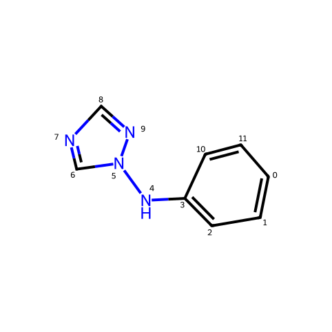 c1ccc(Nn2cncn2)cc1